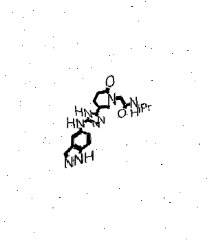 CC(C)NC(=O)CN1C=C(c2nnc(Nc3ccc4[nH]ncc4c3)[nH]2)CCC1=O